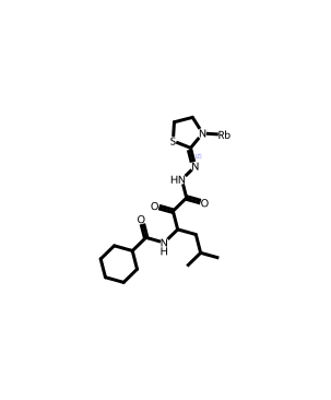 CC(C)CC(NC(=O)C1CCCCC1)C(=O)C(=O)N/N=C1\SCC[N]1[Rb]